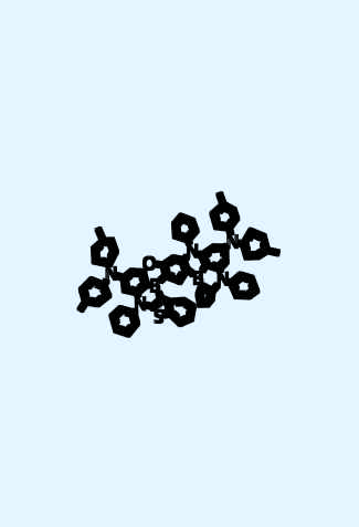 Cc1ccc(N(c2ccc(C)cc2)c2cc3c4c(c2)N(c2ccccc2)c2sc5ccccc5c2B4c2cc4c(cc2O3)N(c2ccccc2)c2cc(N(c3ccc(C)cc3)c3ccc(C)cc3)cc3c2B4c2ccccc2N3c2ccccc2)cc1